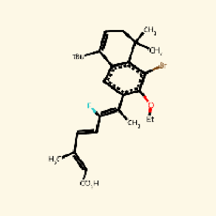 CCOc1c(C(C)=C(F)C=CC(C)=CC(=O)O)cc2c(c1Br)C(C)(C)CC=C2C(C)(C)C